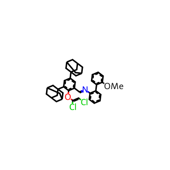 COc1ccccc1-c1ccccc1/N=C/c1cc(C23CC4CC(CC(C4)C2)C3)cc(C23CC4CC(CC(C4)C2)C3)c1O/C(Cl)=C/Cl